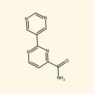 NC(=O)c1ccnc(-c2cncnc2)n1